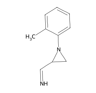 Cc1ccccc1N1CC1C=N